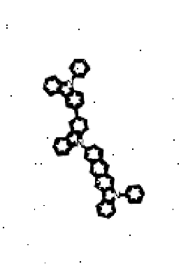 c1ccc(-n2c3ccccc3c3cc(-c4ccc5c(c4)c4ccccc4n5-c4ccc5cc6cc7c(cc6cc5c4)c4ccccc4n7-c4ccccc4)ccc32)cc1